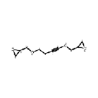 C(#COCC1CO1)CCOCC1CO1